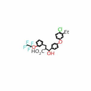 CCc1cc(Oc2ccc(C(O)C(Cc3cccc(OC(F)(F)C(F)F)c3)C(=O)O)cc2)ccc1Cl